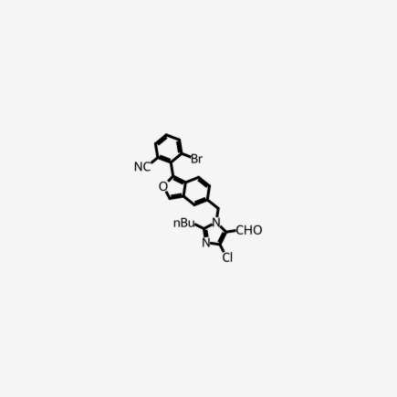 CCCCc1nc(Cl)c(C=O)n1Cc1ccc2c(-c3c(Br)cccc3C#N)occ2c1